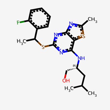 Cc1nc2nc(SC(C)c3ccccc3F)nc(N[C@@H](CO)CC(C)C)c2s1